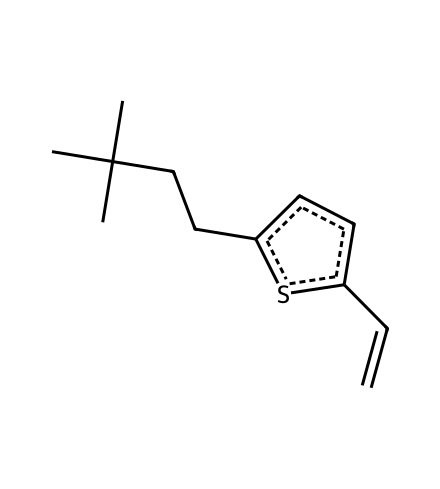 C=Cc1ccc(CCC(C)(C)C)s1